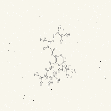 CN(CCN(C)C(=O)OCc1ccc(OC(C)(C)C)cc1O[C@@H]1O[C@H](C(=O)O)[C@@H](O)[C@H](O)[C@H]1O)C(=O)O